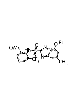 CCOc1cc(C)cc2nc(S(=O)(=O)Nc3c(OC)cccc3C(F)(F)F)nn12